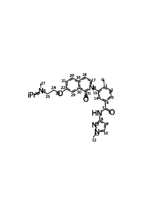 Cc1ccc(C(=O)Nc2ccn(C)n2)cc1-n1ccc2ccc(OCCN(C)C(C)C)cc2c1=O